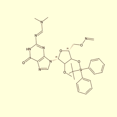 C=NOC[C@H]1O[C@@H](n2cnc3c(=O)[nH]c(N=CN(C)C)nc32)C(OC)C1O[Si](c1ccccc1)(c1ccccc1)C(C)(C)C